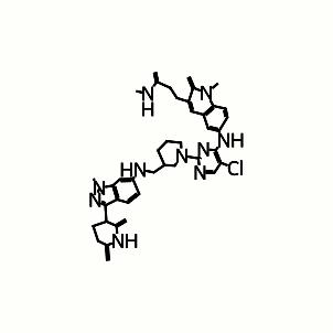 C=C(CCC1=Cc2cc(Nc3nc(N4CCCC(CNc5ccc6c(C7CCC(=C)NC7=C)nn(C)c6c5)C4)ncc3Cl)ccc2N(C)C1=C)NC